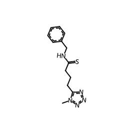 Cn1nnnc1CCCC(=S)NCc1ccccc1